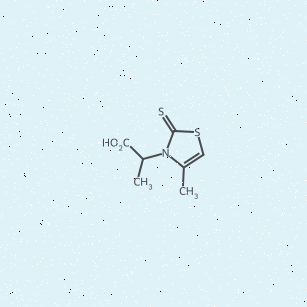 Cc1csc(=S)n1C(C)C(=O)O